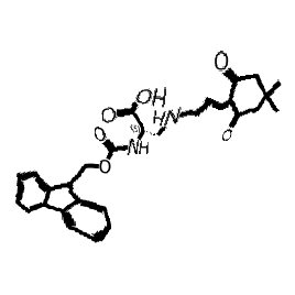 CC1(C)CC(=O)C(=CCNC[C@H](NC(=O)OCC2c3ccccc3-c3ccccc32)C(=O)O)C(=O)C1